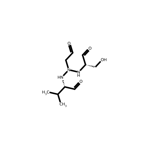 CC(C)[C@@H](C=O)NN(CC=O)N[C@H](C=O)CO